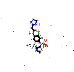 O=C(CC1=NCCN1)Nc1ccc(N(c2scnc2C(=O)O)[SH](=O)=O)cc1F